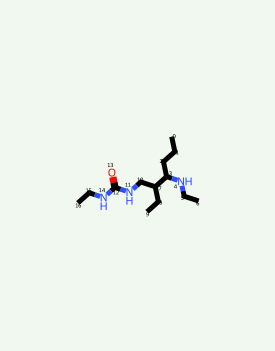 CCCC(NCC)C(CC)CNC(=O)NCC